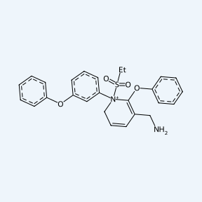 CCS(=O)(=O)[N+]1(c2cccc(Oc3ccccc3)c2)CC=CC(CN)=C1Oc1ccccc1